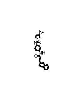 CN(C)C1CCN(c2nc3ccc(NC(=O)C=Cc4ccc5ccccc5c4)cc3s2)C1